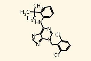 CC(C)(C)c1ccccc1Nc1ncn(Cc2c(Cl)cccc2Cl)c2ncnc1-2